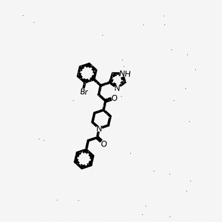 O=C(CC(c1c[nH]cn1)c1ccccc1Br)C1CCN(C(=O)Cc2ccccc2)CC1